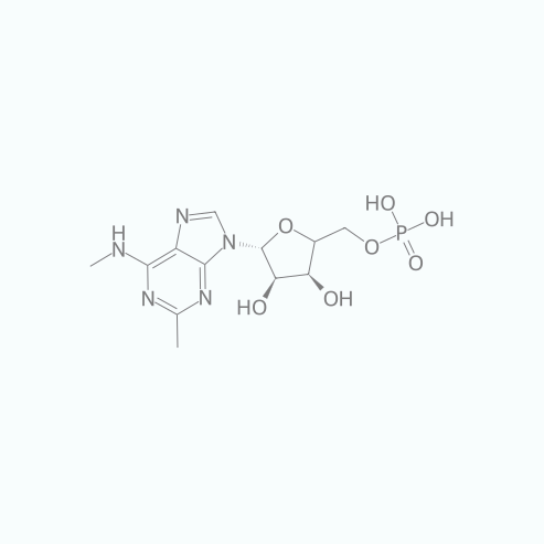 CNc1nc(C)nc2c1ncn2[C@@H]1OC(COP(=O)(O)O)[C@@H](O)[C@H]1O